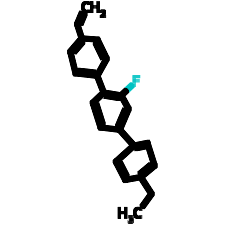 C=Cc1ccc(-c2ccc(-c3ccc(CC)cc3)cc2F)cc1